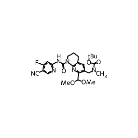 COC(OC)c1nc2c(cc1CN(C)C(=O)OC(C)(C)C)CCCN2C(=O)Nc1cc(F)c(C#N)cn1